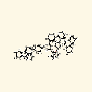 N#Cc1ccc(-c2ccccc2-c2cc3ccccc3c3ccccc23)c(-c2ccccc2-c2nc(-c3ccccc3)nc(-c3ccc(-c4ccc5c6c(cccc46)-c4ccccc4-5)cc3)n2)c1